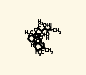 C=C1C[C@@]23CCC4(C)[C@](C)(C(=O)OC(C)C(O)C(O)[C@H](O)[C@@H](C)I)CCC[C@@]4(C)[C@@H]2CC[C@]1(C)C3